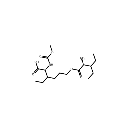 CCC(CC)[C@H](N)C(=O)OCCCC(CC)[C@H](NC(=O)OC)C(=O)O